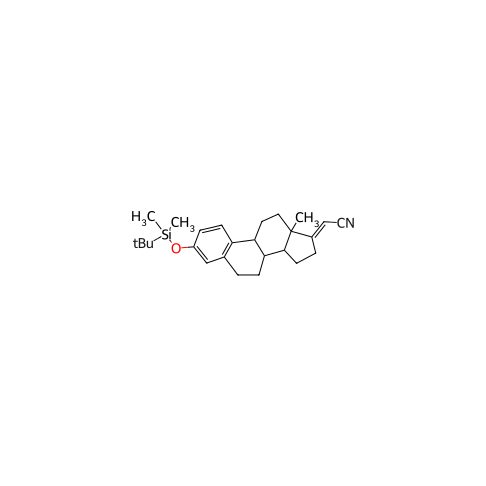 CC12CCC3c4ccc(O[Si](C)(C)C(C)(C)C)cc4CCC3C1CCC2=CC#N